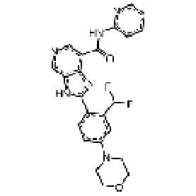 O=C(Nc1ccccn1)c1cncc2[nH]c(-c3ccc(N4CCOCC4)cc3C(F)F)nc12